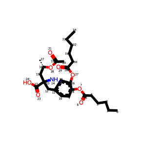 CCCCCC(=O)Oc1ccc(CC(N)(C[C@H](C)OC(C)=O)C(=O)O)cc1OC(=O)CCCCC